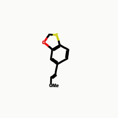 COC=Cc1ccc2c(c1)OCS2